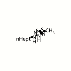 CCCCCCCCNC1=NSc2sc(C)nc2N1